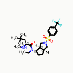 CCN(C(=O)[C@H](CC(C)(C)C)NC)[C@H]1CC[C@@H]2CN(S(=O)(=O)c3ccc(C(F)(F)F)cc3)C[C@@H]21